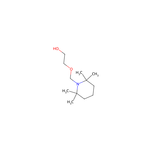 CC1(C)CCCC(C)(C)N1COCCO